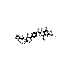 COC(=O)[C@H](CCc1nnn[nH]1)NC(=O)c1ccc(NC(=O)Nc2c(N)nc(N)[nH]c2=O)cn1